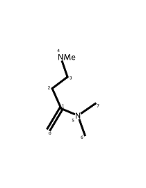 C=C(CCNC)N(C)C